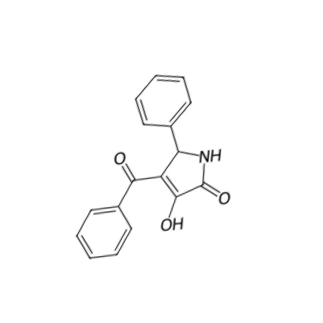 O=C1NC(c2ccccc2)C(C(=O)c2ccccc2)=C1O